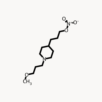 COCCCN1CCC(CCCO[N+](=O)[O-])CC1